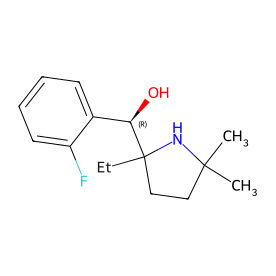 CCC1([C@H](O)c2ccccc2F)CCC(C)(C)N1